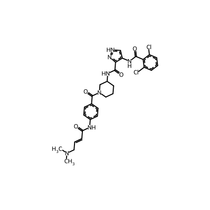 CN(C)CC=CC(=O)Nc1ccc(C(=O)N2CCCC(NC(=O)c3n[nH]cc3NC(=O)c3c(Cl)cccc3Cl)C2)cc1